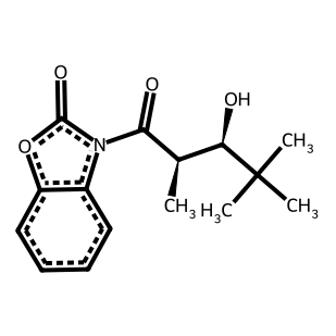 C[C@@H](C(=O)n1c(=O)oc2ccccc21)[C@@H](O)C(C)(C)C